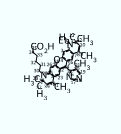 CCN1c2cc3c(cc2C(C)=CC1(C)C)C(c1ncncc1C)=c1cc2c(cc1O3)=[N+](CCCCCC(=O)O)C(C)(C)C=C2C